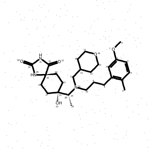 COc1ccc(C)c(CCCN(CC2CCOCC2)[C@H](C)[C@]2(O)CC[C@@]3(CC2)NC(=O)NC3=O)c1